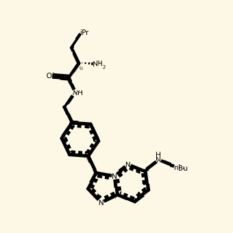 CCCCNc1ccc2ncc(-c3ccc(CNC(=O)[C@@H](N)CC(C)C)cc3)n2n1